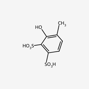 Cc1ccc(S(=O)(=O)O)c(S(=O)(=O)O)c1O